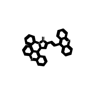 C(=Cc1c2ccccc2nc2ccccc12)C1=CC(c2c3ccccc3nc3ccccc23)N(c2ccccc2)N1